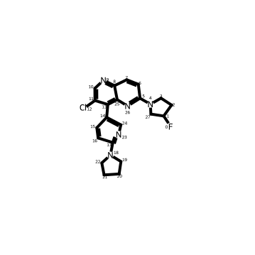 FC1CCN(c2ccc3ncc(Cl)c(-c4ccc(N5CCCC5)nc4)c3n2)C1